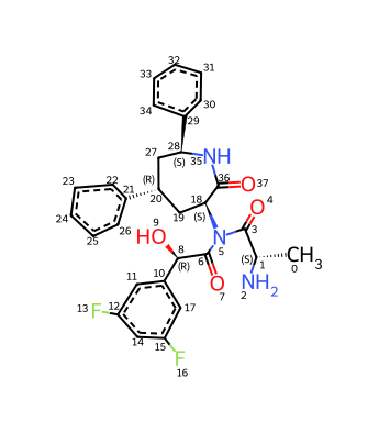 C[C@H](N)C(=O)N(C(=O)[C@H](O)c1cc(F)cc(F)c1)[C@H]1C[C@H](c2ccccc2)C[C@@H](c2ccccc2)NC1=O